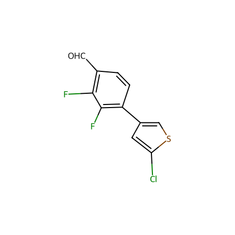 O=Cc1ccc(-c2csc(Cl)c2)c(F)c1F